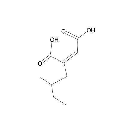 CCC(C)CC(=CC(=O)O)C(=O)O